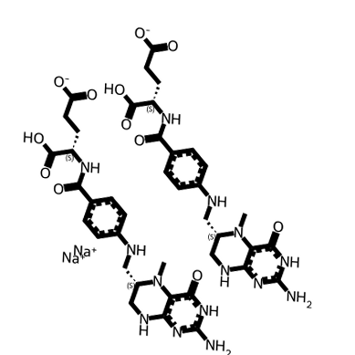 CN1c2c(nc(N)[nH]c2=O)NC[C@@H]1CNc1ccc(C(=O)N[C@@H](CCC(=O)[O-])C(=O)O)cc1.CN1c2c(nc(N)[nH]c2=O)NC[C@@H]1CNc1ccc(C(=O)N[C@@H](CCC(=O)[O-])C(=O)O)cc1.[Na+].[Na+]